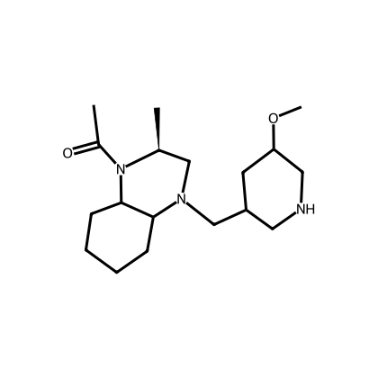 COC1CNCC(CN2C[C@H](C)N(C(C)=O)C3CCCCC32)C1